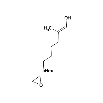 C1CO1.CCCCCCCCCC/C(C)=C/O